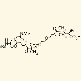 CCC(C)NC(=O)CN(CC(=O)NC)C(=O)CCNC(=O)C(C)(C)CCOCCOCCNC(=O)C(C)(C)CCC(C(=O)O)C(C)C